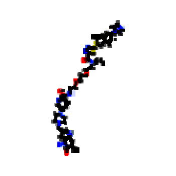 CCc1cc2ncc(CN3CCN(c4ccc(C(=O)NCCOCCOCCN(C)C(=O)c5nnc(SCc6ccc(-n7ccnc7)cc6C)s5)nc4)CC3)cc2[nH]c1=O